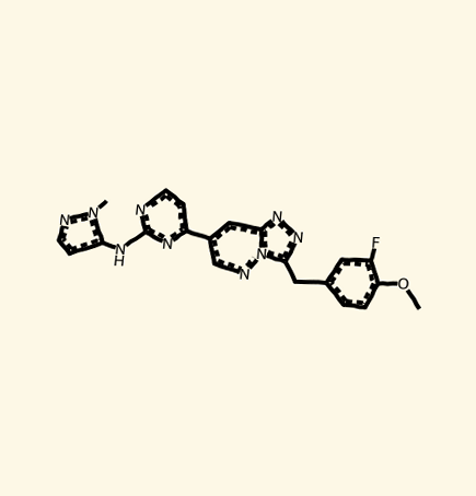 COc1ccc(Cc2nnc3cc(-c4ccnc(Nc5ccnn5C)n4)cnn23)cc1F